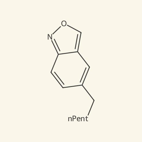 CCCCCCc1ccc2nocc2c1